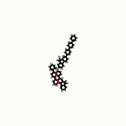 CC1(C)c2ccccc2-c2ccc(-c3ccc(N(c4ccc5c(c4)C(C)(C)c4cc(-c6ccc(-c7ccc(-c8ccccc8)cc7)cc6)ccc4-5)c4ccccc4-c4ccc(-c5ccccc5)cc4)cc3)cc21